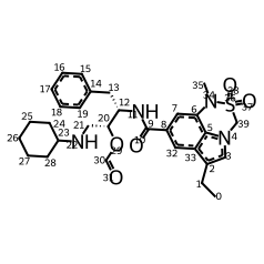 CCc1cn2c3c(cc(C(=O)N[C@@H](Cc4ccccc4)[C@@H](CNC4CCCCC4)OC=O)cc13)N(C)S(=O)(=O)C2